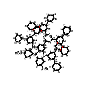 CCCCc1ccc2c(c1)N(c1cc(-c3ccccc3)cc(-c3ccccc3)c1)c1cc(-c3nc(-c4cc(-c5ccccc5)cc(-c5ccccc5)c4)nc(-c4cc(-c5ccccc5)cc(-c5ccccc5)c4)n3)cc3c1B2c1ccc(CCCC)cc1N3c1cc(-c2ccccc2)cc(-c2ccccc2)c1